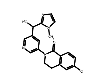 Cn1ccnc1C(O)c1cncc(N2CCc3cc(Cl)ccc3C2=O)c1